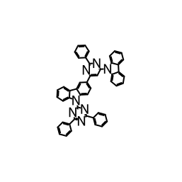 c1ccc(-c2nc(-c3ccc4c(c3)c3ccccc3n4-c3nc(-c4ccccc4)nc(-c4ccccc4)n3)cc(-n3c4ccccc4c4ccccc43)n2)cc1